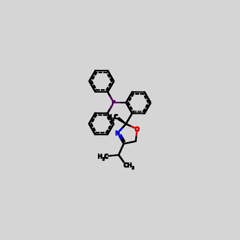 CC(C)C1=N[C@](C)(c2ccccc2P(c2ccccc2)c2ccccc2)OC1